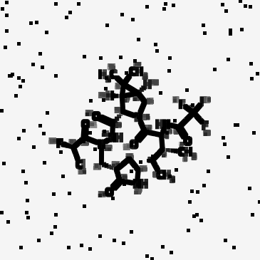 CC[C@@H](C)[C@H](NC(=O)C(F)(F)F)C(=O)N1C[C@H]2[C@@H]([C@H]1C(=O)NN(C[C@@H]1CCNC1=O)C(=O)[C@H](F)Cl)C2(C)C